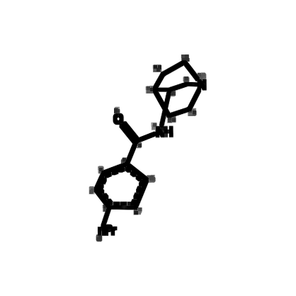 CCCc1ccc(C(=O)NC2CN3CCC2CC3)cc1